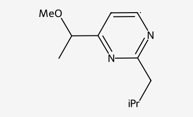 COC(C)c1c[c]nc(CC(C)C)n1